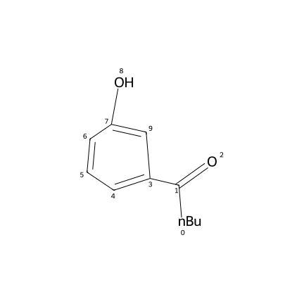 CCCCC(=O)c1cccc(O)c1